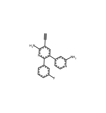 C#Cc1cc(-c2ccnc(N)c2)c(-c2cccc(F)c2)nc1N